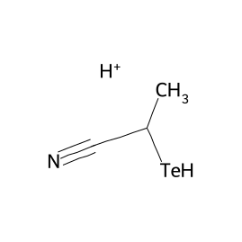 CC([TeH])C#N.[H+]